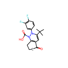 CC(C)(C)C1=CC2=C(CCCC2=O)N(C(=O)O)N1c1ccc(F)c(F)c1